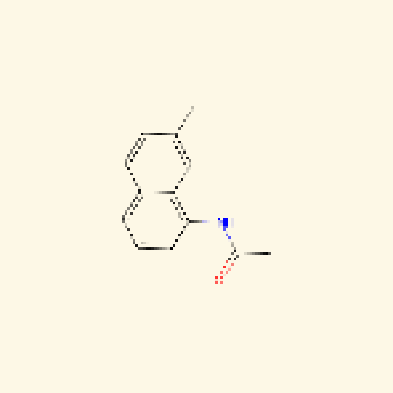 CC(=O)Nc1cccc2ccc(C)cc12